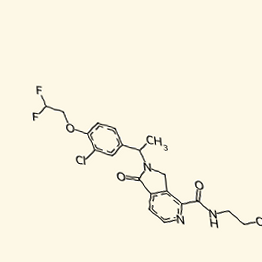 CC(c1ccc(OCC(F)F)c(Cl)c1)N1Cc2c(ccnc2C(=O)NCCO)C1=O